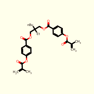 C=C(C)C(=O)Oc1ccc(C(=O)OCC(CC)(CCCC)COC(=O)c2ccc(OC(=O)C(=C)C)cc2)cc1